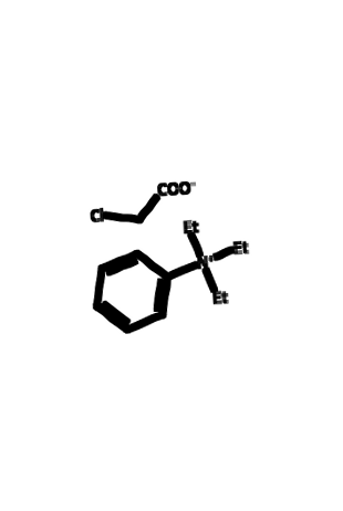 CC[N+](CC)(CC)c1ccccc1.O=C([O-])CCl